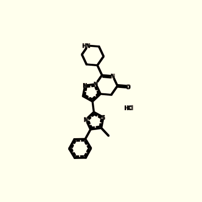 Cc1sc(-c2cnn3c2CC(=O)N=C3C2CCNCC2)nc1-c1ccccc1.Cl